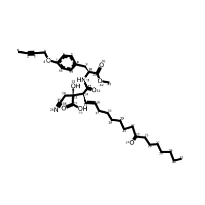 CC#CCOc1ccc(C[C@H](NC(=O)[C@@H](C=CCCCCCCC(=O)CCCCCCC)[C@@](O)(CC#N)C(=O)O)C(=O)OC)cc1